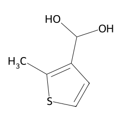 Cc1sccc1C(O)O